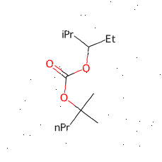 CCCC(C)(C)OC(=O)OC(CC)C(C)C